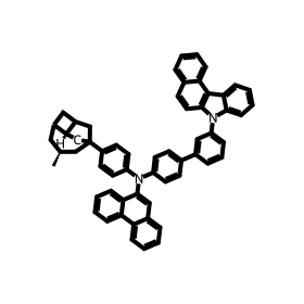 C[C@H]1CC2CC3CC(c4ccc(N(c5ccc(-c6cccc(-n7c8ccccc8c8c9ccccc9ccc87)c6)cc5)c5cc6ccccc6c6ccccc56)cc4)(C1)C[C@H]23